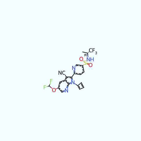 C[C@@H](NS(=O)(=O)c1ccc(-c2c(C#N)c3cc(OC(F)F)cnc3n2C2=CC=C2)nc1)C(F)(F)F